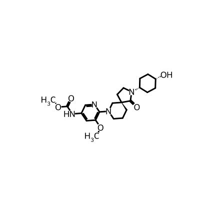 COC(=O)Nc1cnc(N2CCC[C@]3(CCN([C@H]4CC[C@@H](O)CC4)C3=O)C2)c(OC)c1